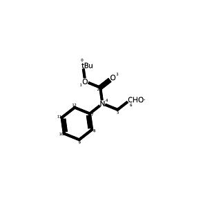 CC(C)(C)OC(=O)N(C[C]=O)C1=CCC=CC1